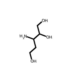 NC(CCO)C(O)CO